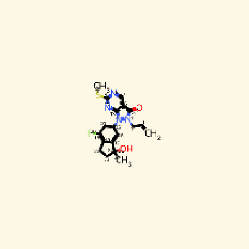 C=CCn1c(=O)c2cnc(SC)nc2n1C1C=C2C(=C(F)C1)CCC2(C)O